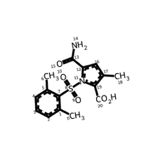 Cc1cccc(C)c1S(=O)(=O)n1c(C(N)=O)cc(C)c1C(=O)O